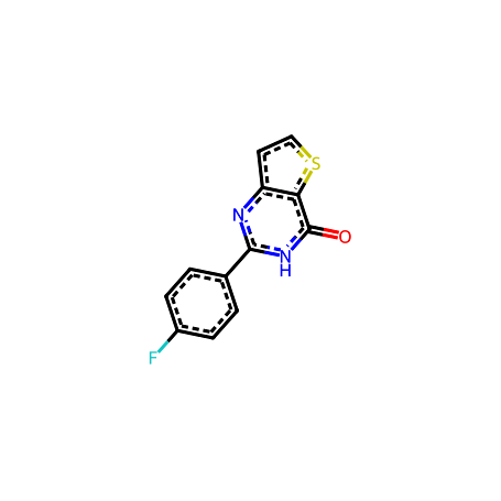 O=c1[nH]c(-c2ccc(F)cc2)nc2ccsc12